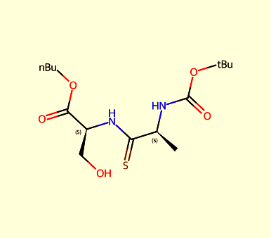 CCCCOC(=O)[C@H](CO)NC(=S)[C@H](C)NC(=O)OC(C)(C)C